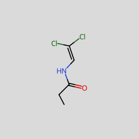 CCC(=O)NC=C(Cl)Cl